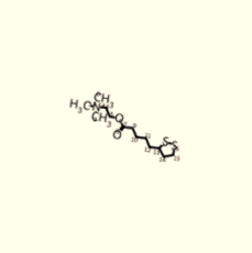 C[N+](C)(C)CCOC(=O)CCCCC1CCSS1